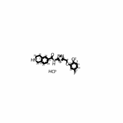 Cl.O=C(Nc1nnc(COc2cc(F)ccc2C(F)(F)F)s1)c1ccc2c(c1)CCNC2